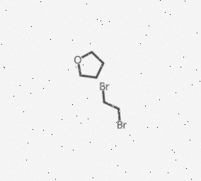 BrCCBr.C1CCOC1